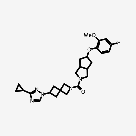 COc1cc(F)ccc1OC1CC2CN(C(=O)N3CC4(CC(n5cnc(C6CC6)n5)C4)C3)CC2C1